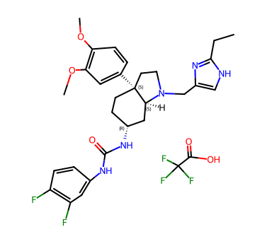 CCc1nc(CN2CC[C@]3(c4ccc(OC)c(OC)c4)CC[C@@H](NC(=O)Nc4ccc(F)c(F)c4)C[C@H]23)c[nH]1.O=C(O)C(F)(F)F